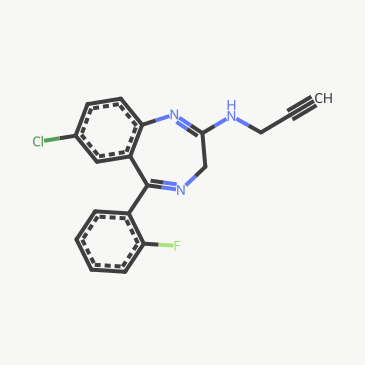 C#CCNC1=Nc2ccc(Cl)cc2C(c2ccccc2F)=NC1